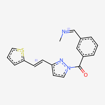 C/N=C\c1cccc(C(=O)n2ccc(/C=C/c3cccs3)n2)c1